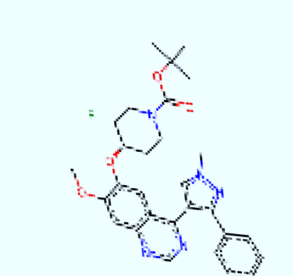 COc1cc2ncnc(-c3cn(C)nc3-c3ccccc3)c2cc1O[C@@H]1CCN(C(=O)OC(C)(C)C)C[C@H]1F